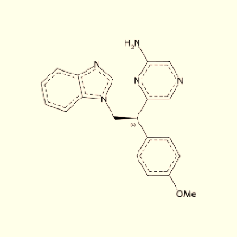 COc1ccc([C@@H](Cn2cnc3ccccc32)c2cncc(N)n2)cc1